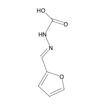 O=C(O)N/N=C/c1ccco1